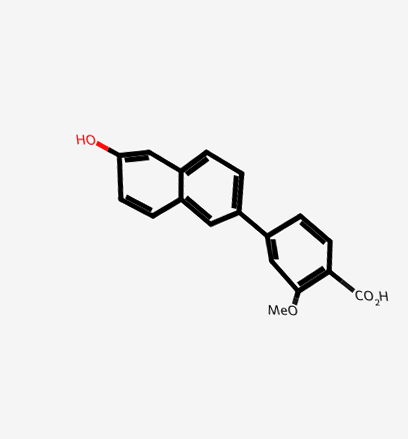 COc1cc(-c2ccc3cc(O)ccc3c2)ccc1C(=O)O